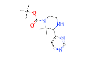 CC(C)(C)OC(=O)N1CCNC(c2ccncn2)C1(C)C